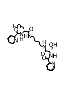 O=C(N[C@@H](CO)C(=O)NCCCCNC(=O)[C@H](CO)NC(=O)c1ccccn1)c1ccccn1